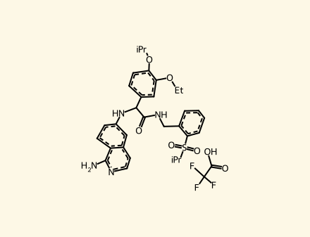 CCOc1cc(C(Nc2ccc3c(N)nccc3c2)C(=O)NCc2ccccc2S(=O)(=O)C(C)C)ccc1OC(C)C.O=C(O)C(F)(F)F